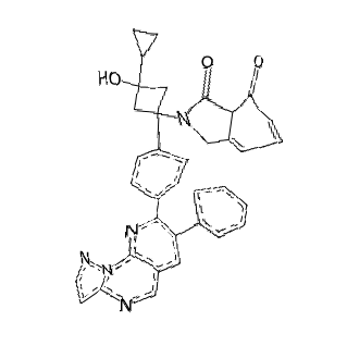 O=C1C=CC=C2CN(C3(c4ccc(-c5nc6c(cnc7ccnn76)cc5-c5ccccc5)cc4)CC(O)(C4CC4)C3)C(=O)C12